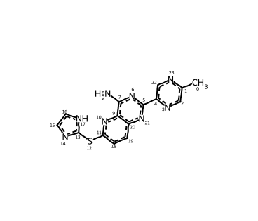 Cc1cnc(-c2nc(N)c3nc(Sc4ncc[nH]4)ccc3n2)cn1